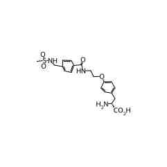 CS(=O)(=O)NCc1ccc(C(=O)NCCOc2ccc(C[C@H](N)C(=O)O)cc2)cc1